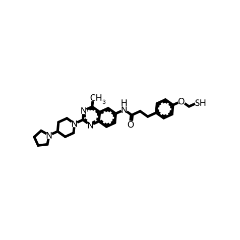 Cc1nc(N2CCC(N3CCCC3)CC2)nc2ccc(NC(=O)CCc3ccc(OCS)cc3)cc12